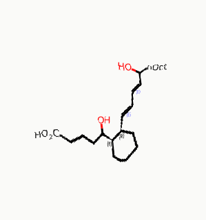 CCCCCCCCC(O)/C=C/C=C/[C@H]1CCCC[C@H]1C(O)CCCC(=O)O